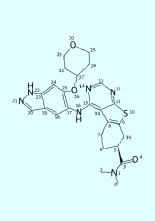 CN(C)C(=O)[C@H]1CCc2c(sc3ncnc(Nc4cc5cn[nH]c5cc4OC4CCOCC4)c23)C1